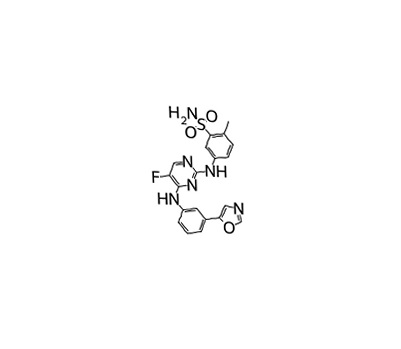 Cc1ccc(Nc2ncc(F)c(Nc3cccc(-c4cnco4)c3)n2)cc1S(N)(=O)=O